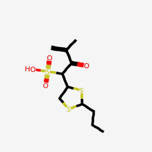 C=C(C)C(=O)C(C1CSC(CCC)S1)S(=O)(=O)O